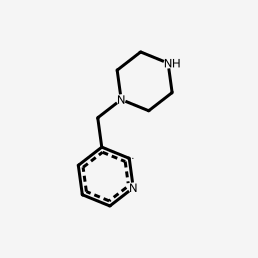 [c]1ncccc1CN1CCNCC1